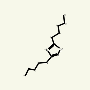 CCCCCc1c[se]c(CCCCC)n1